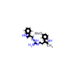 COc1ccc2[nH]c(C)c(CCN=C(N)NN=Cc3c[nH]c4ccccc34)c2c1